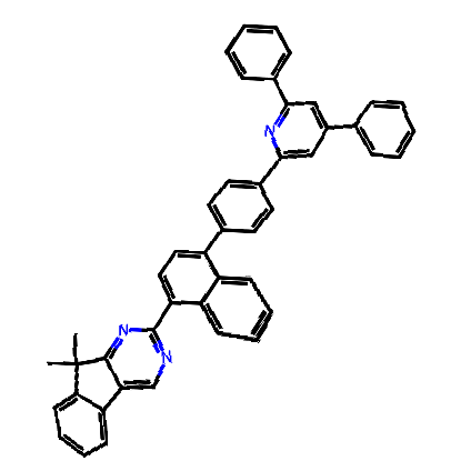 CC1(C)c2ccccc2-c2cnc(-c3ccc(-c4ccc(-c5cc(-c6ccccc6)cc(-c6ccccc6)n5)cc4)c4ccccc34)nc21